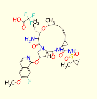 CC[C@@H]1O[C@H](C)CC/C=C\C2CC2(C(=O)NS(=O)(=O)C2(C)CC2)NC(=O)[C@@H]2C[C@@H](Oc3nccc4cc(OC)c(F)cc34)CN2C(=O)[C@H]1N.O=C(O)C(F)(F)F